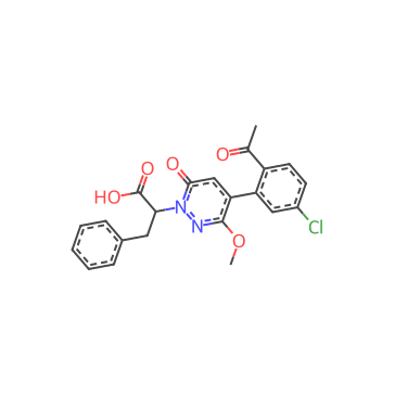 COc1nn(C(Cc2ccccc2)C(=O)O)c(=O)cc1-c1cc(Cl)ccc1C(C)=O